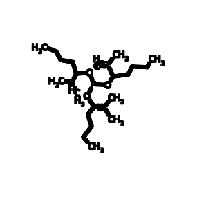 CCCCC(OP(OC(CCCC)[SiH](C)C)OC(CCCC)[SiH](C)C)[SiH](C)C